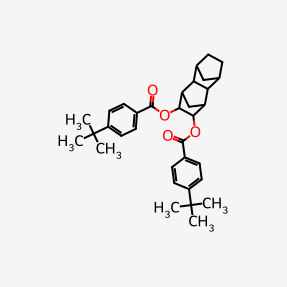 CC(C)(C)c1ccc(C(=O)OC2C3CC(C2OC(=O)c2ccc(C(C)(C)C)cc2)C2C4CCC(C4)C32)cc1